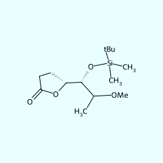 COC(C)[C@@H](O[Si](C)(C)C(C)(C)C)[C@H]1CCC(=O)O1